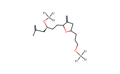 C=C(C)C[C@H](CCC1OC(CCCO[Si](CC)(CC)CC)CC1=C)O[Si](CC)(CC)CC